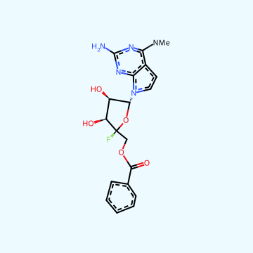 CNc1nc(N)nc2c1ccn2[C@@H]1O[C@](F)(COC(=O)c2ccccc2)[C@@H](O)[C@H]1O